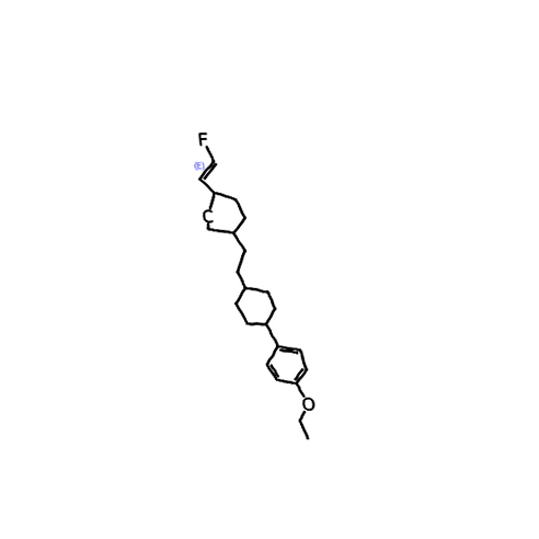 CCOc1ccc(C2CCC(CCC3CCC(/C=C/F)CC3)CC2)cc1